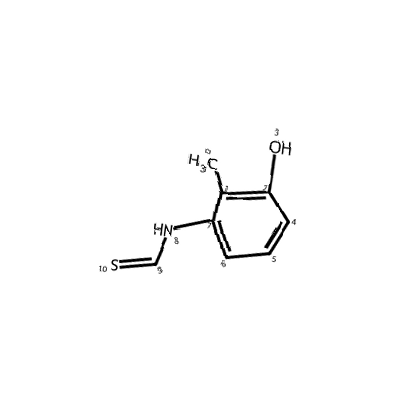 Cc1c(O)cccc1NC=S